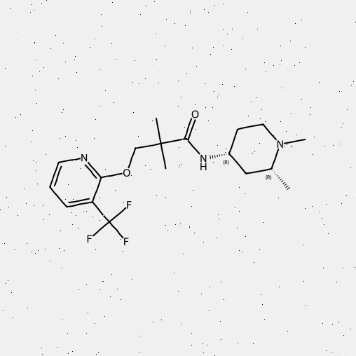 C[C@@H]1C[C@H](NC(=O)C(C)(C)COc2ncccc2C(F)(F)F)CCN1C